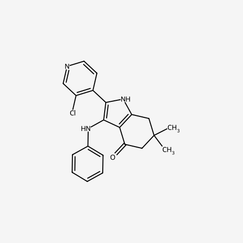 CC1(C)CC(=O)c2c([nH]c(-c3ccncc3Cl)c2Nc2ccccc2)C1